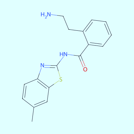 Cc1ccc2nc(NC(=O)c3ccccc3CCN)sc2c1